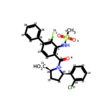 CS(=O)(=O)Nc1c(C(=O)N2[C@@H](c3ccccc3Cl)CC[C@H]2C(=O)O)ccc(-c2ccccc2)c1F